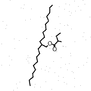 CCCCCCCCCCC(CCCCCCCCCC)COC(=O)C(C)CC